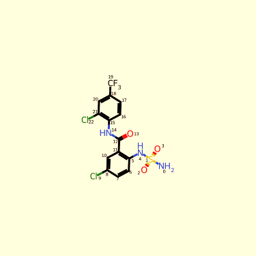 NS(=O)(=O)Nc1ccc(Cl)cc1C(=O)Nc1ccc(C(F)(F)F)cc1Cl